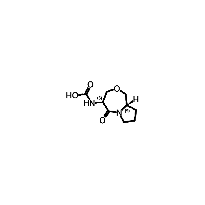 O=C(O)N[C@H]1COC[C@@H]2CCCN2C1=O